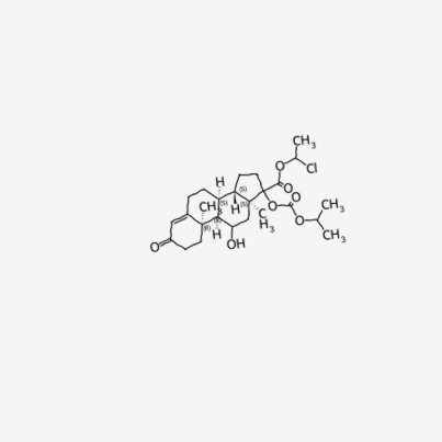 CC(C)OC(=O)OC1(C(=O)OC(C)Cl)CC[C@H]2[C@@H]3CCC4=CC(=O)CC[C@]4(C)[C@@H]3C(O)C[C@@]21C